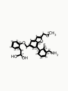 COCc1cc2cc(COc3ccccc3CC(O)O)cc(-c3cccc(CN)c3F)c2o1